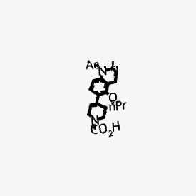 CCCOc1c(C2=CCN(C(=O)O)CC2)ccc2c1CC[C@H](C)N2C(C)=O